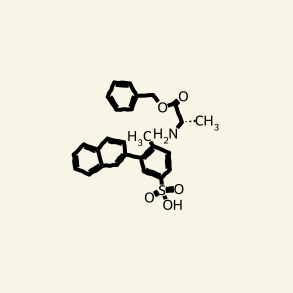 C[C@H](N)C(=O)OCc1ccccc1.Cc1ccc(S(=O)(=O)O)cc1-c1ccc2ccccc2c1